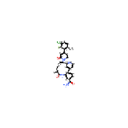 CC1CCCC(N2CCC(c3c(C#N)ccc(Cl)c3F)=CC2=O)c2cc(ccn2)-c2ccc(C(N)=O)cc2NC1=O